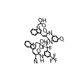 COc1cccc(N(C)C(=O)C(C#N)=Cc2cn(CC(=O)O)c3ccccc23)c1.N#CC(=Cc1cn(CC(=O)O)c2ccccc12)C(=O)Nc1cc(C(F)(F)F)cc(C(F)(F)F)c1